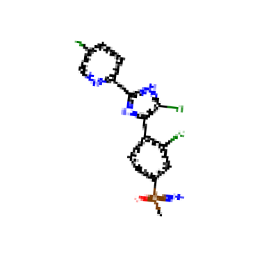 CS(=N)(=O)c1ccc(-c2[nH]c(-c3ccc(F)cn3)nc2Cl)c(Cl)c1